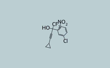 O=[N+]([O-])c1ccc(Cl)cc1C(O)(C#CC1CC1)C(F)(F)F